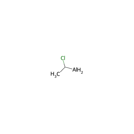 C[CH]([AlH2])Cl